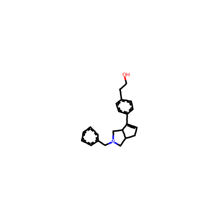 OCCc1ccc(C2=CCC3CN(Cc4ccccc4)CC23)cc1